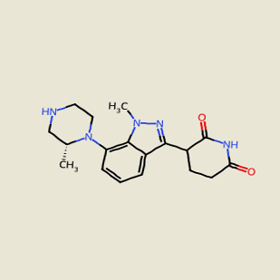 C[C@@H]1CNCCN1c1cccc2c(C3CCC(=O)NC3=O)nn(C)c12